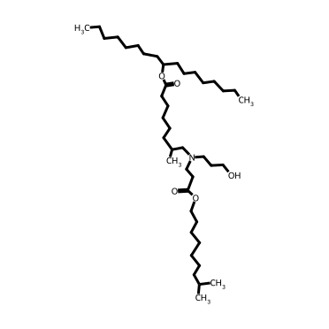 CCCCCCCCC(CCCCCCCC)OC(=O)CCCCCC(C)CN(CCCO)CCC(=O)OCCCCCCCC(C)C